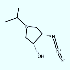 CC(C)N1C[C@@H](O)[C@@H](N=[N+]=[N-])C1